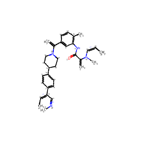 C=C(C(=O)Nc1cc(C(=C)N2CCC(c3ccc(C(/C=N\C)=C/C)cc3)CC2)ccc1C)N(C)/C=C\C